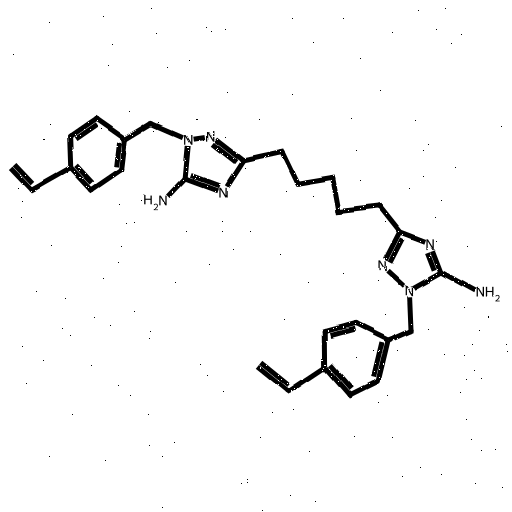 C=Cc1ccc(Cn2nc(CCCCCc3nc(N)n(Cc4ccc(C=C)cc4)n3)nc2N)cc1